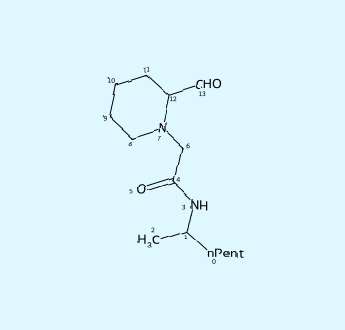 CCCCCC(C)NC(=O)CN1CCCCC1C=O